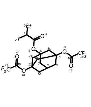 CCC(I)C(=O)OC12CC3CC(OC(=O)C(F)(F)F)(C1)CC(OC(=O)C(F)(F)F)(C3)C2